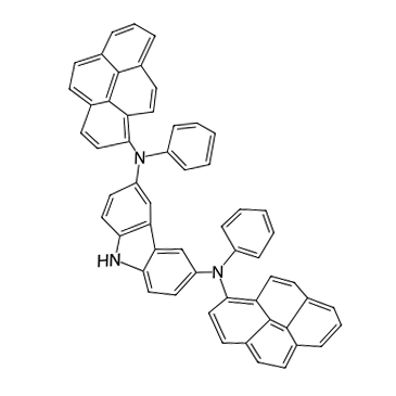 c1ccc(N(c2ccc3[nH]c4ccc(N(c5ccccc5)c5ccc6ccc7cccc8ccc5c6c78)cc4c3c2)c2ccc3ccc4cccc5ccc2c3c45)cc1